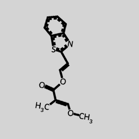 COC=C(C)C(=O)OC=Cc1nc2ccccc2s1